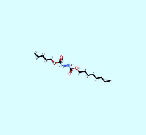 CCCCCCCCOC(=O)N=NC(=O)OCCCCC